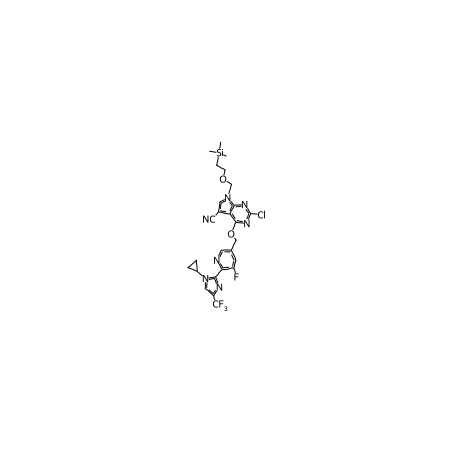 C[Si](C)(C)CCOCn1cc(C#N)c2c(OCc3cnc(-c4nc(C(F)(F)F)cn4C4CC4)c(F)c3)nc(Cl)nc21